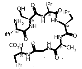 CC(C)C[C@H](NC(=O)CNC(=O)[C@H](C)NC(=O)[C@H](CC(C)C)NC(=O)[C@@H](NC(=O)[C@H](CO)NC(=O)[C@@H](N)C(C)C)C(C)C)C(=O)O